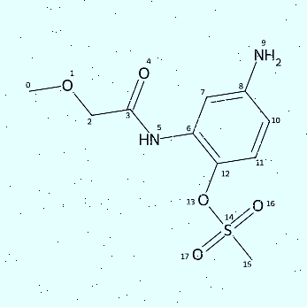 COCC(=O)Nc1cc(N)ccc1OS(C)(=O)=O